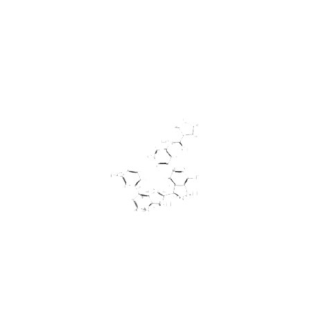 O=C(Nc1cncc(-c2cc(F)c3[nH]nc(-c4nc5c(-c6cccc(F)c6)ccnc5[nH]4)c3c2)c1)C1CCCC1